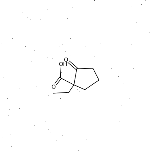 CCC1(C(=O)O)CCCC1=O